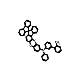 Cc1ccccc1-c1cccc(N(c2ccccc2)c2ccc3c(c2)Oc2c(ccc4c2-c2ccccc2C42c4ccccc4-c4ccccc42)O3)c1